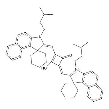 CC(C)CCN1/C(=C/C2=C(O)C(=C/C3=[N+](CCC(C)C)c4ccc5ccccc5c4C34CCCCC4)/C2=O)C2(CCCCC2)c2c1ccc1ccccc21